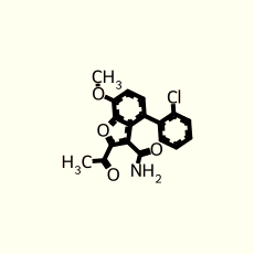 COc1ccc(-c2ccccc2Cl)c2c(C(N)=O)c(C(C)=O)oc12